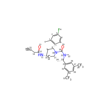 Cc1cc(F)ccc1[C@H]1C[C@@H](NC(=O)CC(C)(C)C)CCN1C(=O)N(C)[C@@H](C)c1cc(C(F)(F)F)cc(C(F)(F)F)c1